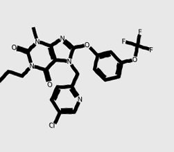 CCCn1c(=O)c2c(nc(Oc3cccc(OC(F)(F)F)c3)n2Cc2ccc(Cl)cn2)n(C)c1=O